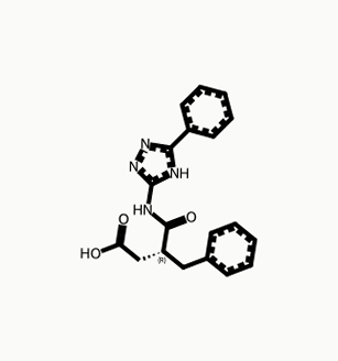 O=C(O)C[C@@H](Cc1ccccc1)C(=O)Nc1nnc(-c2ccccc2)[nH]1